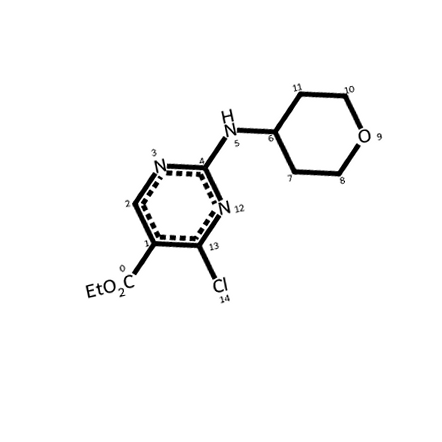 CCOC(=O)c1cnc(NC2CCOCC2)nc1Cl